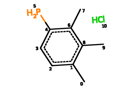 Cc1ccc(P)c(C)c1C.Cl